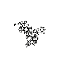 CC[Si](CC)(CC)O[C@@H]1[C@@H](F)CN(C(=O)OCc2ccccc2)[C@H]1C(=O)Nc1ccc2c(cnn2C(=O)O)n1